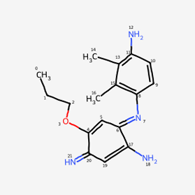 CCCOC1=CC(=Nc2ccc(N)c(C)c2C)C(N)=CC1=N